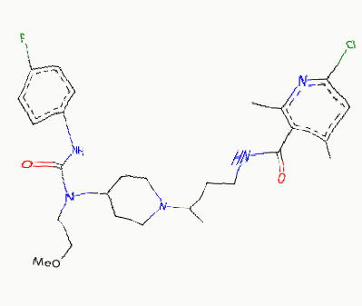 COCCN(C(=O)Nc1ccc(F)cc1)C1CCN(C(C)CCNC(=O)c2c(C)cc(Cl)nc2C)CC1